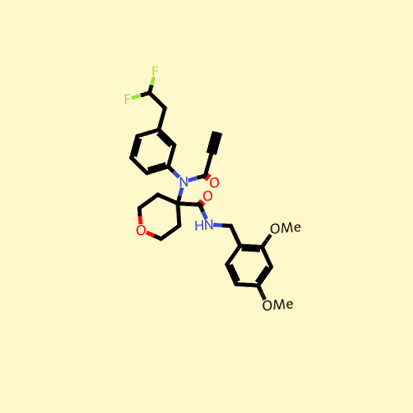 C#CC(=O)N(c1cccc(CC(F)F)c1)C1(C(=O)NCc2ccc(OC)cc2OC)CCOCC1